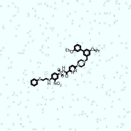 CCOc1cccc(-c2cc(CN3CCN(c4ccc(C(=O)NS(=O)(=O)c5ccc(NCCSc6ccccc6)c([N+](=O)[O-])c5)nn4)CC3)cc(OC(C)C)c2)c1